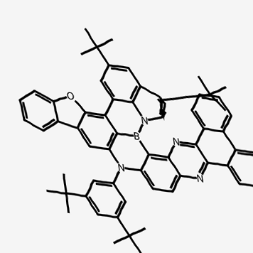 CC(C)(C)c1cc(N2c3cc4c(oc5ccccc54)c4c3B(c3c2ccc2nc5c6ccccc6c6ccccc6c5nc32)n2c3ccc(C(C)(C)C)cc3c3cc(C(C)(C)C)cc-4c32)cc(C(C)(C)C)c1